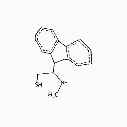 CNC(CS)C1c2ccccc2-c2ccccc21